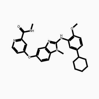 CNC(=O)c1cc(Oc2ccc3c(c2)nc(Nc2cc(C4CCCCC4)ccc2OC)n3C)ccn1